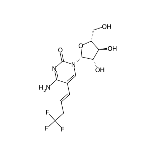 Nc1nc(=O)n([C@@H]2O[C@H](CO)[C@@H](O)[C@@H]2O)cc1/C=C/CC(F)(F)F